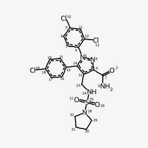 NC(=O)c1nn(-c2ccc(Cl)cc2Cl)c(-c2ccc(Cl)cc2)c1CNS(=O)(=O)N1CCCC1